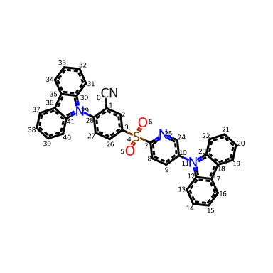 N#Cc1cc(S(=O)(=O)c2ccc(-n3c4ccccc4c4ccccc43)cn2)ccc1-n1c2ccccc2c2ccccc21